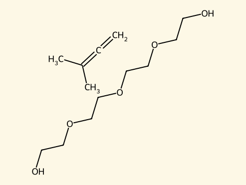 C=C=C(C)C.OCCOCCOCCOCCO